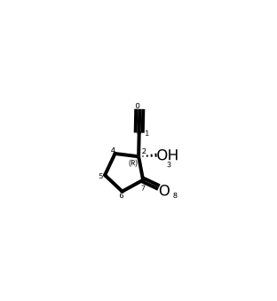 C#C[C@]1(O)CCCC1=O